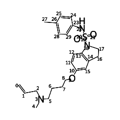 C=CCN(C)CCCCOc1ccc2c(c1)CCN2S(=O)(=O)Nc1ccc(C)cc1